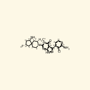 Cn1c(N2CCC3(CC2)C[C@H](F)C[C@H]3N)nc2[nH]nc(-c3ccnc(N)c3Cl)c2c1=O